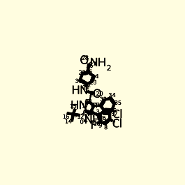 CN[C@]1(c2ccc(Cl)cc2F)[C@H](CC(C)(C)C)N[C@@H](C(=O)Nc2ccc(C(N)=O)cc2)[C@@H]1c1cccc(Cl)c1F